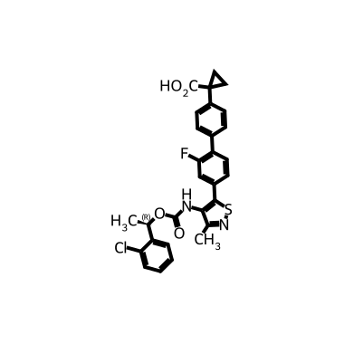 Cc1nsc(-c2ccc(-c3ccc(C4(C(=O)O)CC4)cc3)c(F)c2)c1NC(=O)O[C@H](C)c1ccccc1Cl